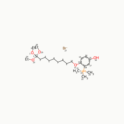 CCO[Si](CCCCCCCCOc1ccc(O)cc1[P+](C)(C)C)(OCC)OCC.[Br-]